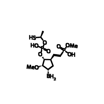 B[C@H]1C[C@H](/C=C/P(=O)(O)OC)[C@@H](OP(=O)(O)O[C@H](C)S)[C@H]1OC